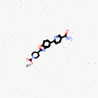 CC(C)OC(=O)N1CCC(c2nc3cc(-c4ccc(C(N)=O)cn4)ccc3o2)CC1